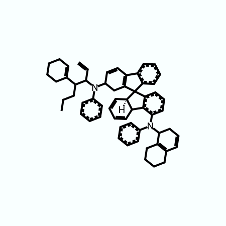 C=CC(C(CCC)C1=CCCCC1)N(c1ccccc1)C1C=CC2=C(C1)C1(c3ccccc32)c2cccc(N(c3ccccc3)C3CC=CC4=C3CCCC4)c2C2C=CC=C[C@H]21